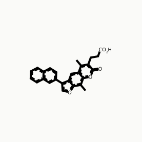 Cc1c(CCC(=O)O)c(=O)oc2c(C)c3occ(-c4ccc5ccccc5c4)c3cc12